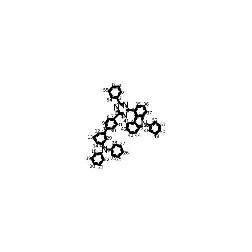 c1ccc(-c2nc(-c3ccc(-c4cccc(N(c5ccccc5)c5ccccc5)c4)cc3)nc(-c3cccc4c3c3ccccc3n4-c3ccccc3)n2)cc1